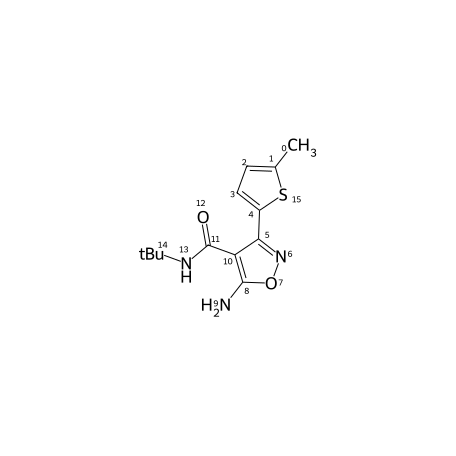 Cc1ccc(-c2noc(N)c2C(=O)NC(C)(C)C)s1